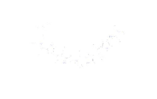 CN(C)CCCN(C)C(=O)c1cc(N(C)C(=O)c2cc(N(C)C(=O)c3cc(N(C)C(=O)c4cc(NC(=O)N(C)N=O)c[nH]4)c[nH]3)c[nH]2)c[nH]1